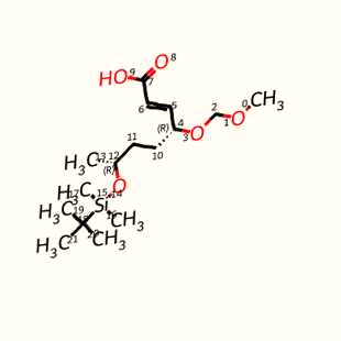 COCO[C@@H](C=CC(=O)O)CC[C@@H](C)O[Si](C)(C)C(C)(C)C